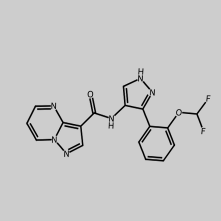 O=C(Nc1c[nH]nc1-c1ccccc1OC(F)F)c1cnn2cccnc12